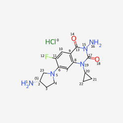 Cl.N[C@H]1CCN(c2cc3c(cc2F)c(=O)n(N)c(=O)n3C2CC2)C1